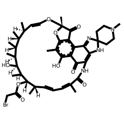 C/C1=C/C=C/[C@H](C)[C@H](OC(=O)CBr)[C@@H](C)[C@@H](O)[C@@H](C)[C@H](C)[C@H](C)[C@@H](C)/C=C/O[C@@]2(C)Oc3c(C)c(O)c4c(c3C2=O)C2=NC3(CCN(C)CC3)NC2=C(NC1=O)C4=O